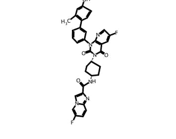 Cc1cc(O)ccc1-c1cccc(-n2c(=O)n([C@H]3CC[C@@H](NC(=O)c4cn5cc(F)ccc5n4)CC3)c(=O)c3cc(F)cnc32)c1